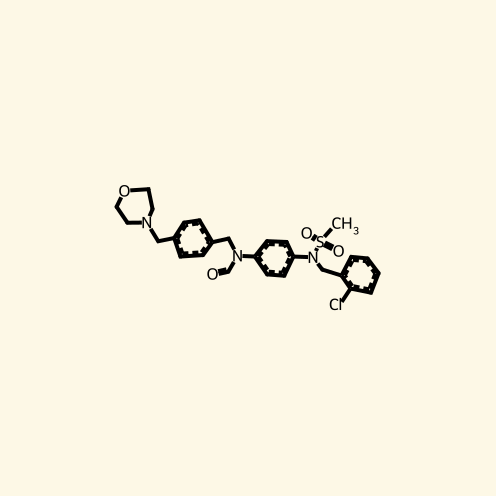 CS(=O)(=O)N(Cc1ccccc1Cl)c1ccc(N(C=O)Cc2ccc(CN3CCOCC3)cc2)cc1